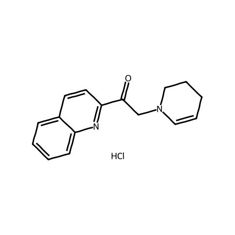 Cl.O=C(CN1C=CCCC1)c1ccc2ccccc2n1